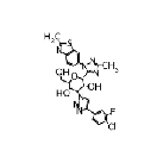 Cc1nc([C@@H]2O[C@H](CO)[C@H](O)[C@H](n3cc(-c4ccc(Cl)c(F)c4)nn3)[C@H]2O)n(-c2ccc3nc(C)sc3c2)n1